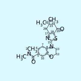 CN(C)C(=O)c1ccc2c(c1)OCCN2c1nc2c(s1)C(=O)CC(C)(C)C2